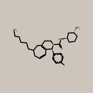 CCCCCCC1CC=CC2=C(CCN(C(=O)N[C@@H]3CCC[C@@H](N)C3)[C@H]2c2ccc(F)cc2)C1